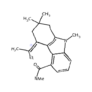 CC/C(C)=C1/CC(C)(C)Cc2c1c1c(C(=O)NC)cccc1n2C